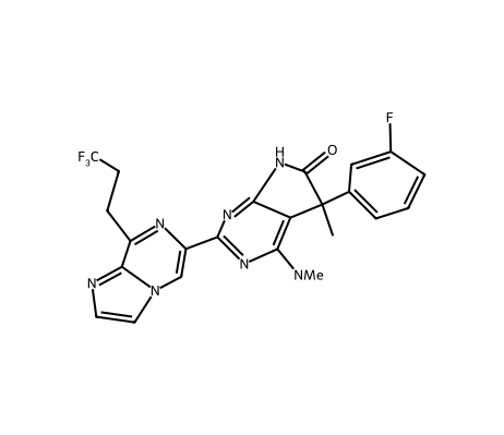 CNc1nc(-c2cn3ccnc3c(CCC(F)(F)F)n2)nc2c1C(C)(c1cccc(F)c1)C(=O)N2